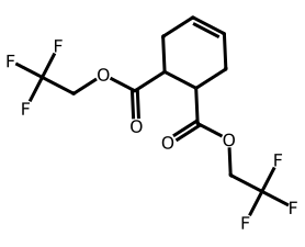 O=C(OCC(F)(F)F)C1CC=CCC1C(=O)OCC(F)(F)F